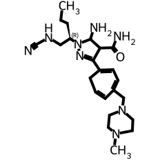 CCC[C@H](CNC#N)N1N=C(C2=CC=C(CN3CCN(C)CC3)C=CC2)C(C(N)=O)C1N